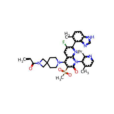 C=CC(=O)N1CC2(CCN(c3c(S(C)(=O)=O)c(=O)n(-c4c(C)ccnc4C(C)C)c4nc(-c5c(C)ccc6[nH]cnc56)c(F)cc34)CC2)C1